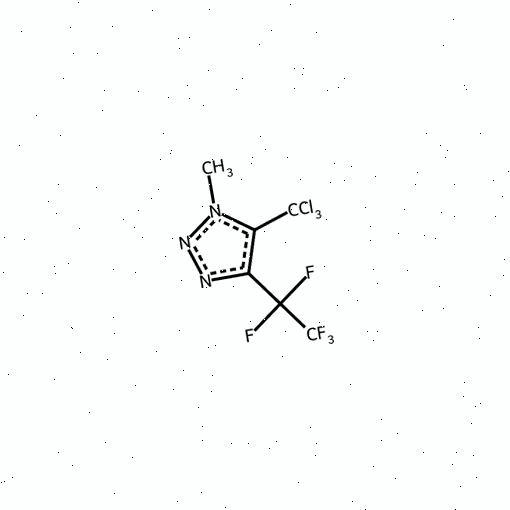 Cn1nnc(C(F)(F)C(F)(F)F)c1C(Cl)(Cl)Cl